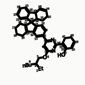 CCCCC(CC)COc1cc(-c2ccc3c(c2)C2=C(CCCC2)C32c3ccccc3C3C=CCCC32)nc(C2=C(O)C=CCC2)n1